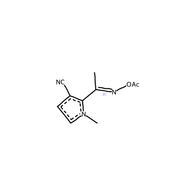 CC(=O)O/N=C(\C)c1c(C#N)ccn1C